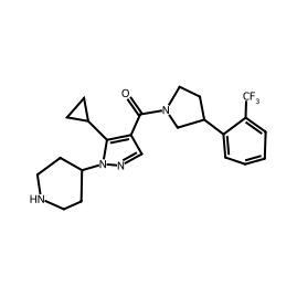 O=C(c1cnn(C2CCNCC2)c1C1CC1)N1CCC(c2ccccc2C(F)(F)F)C1